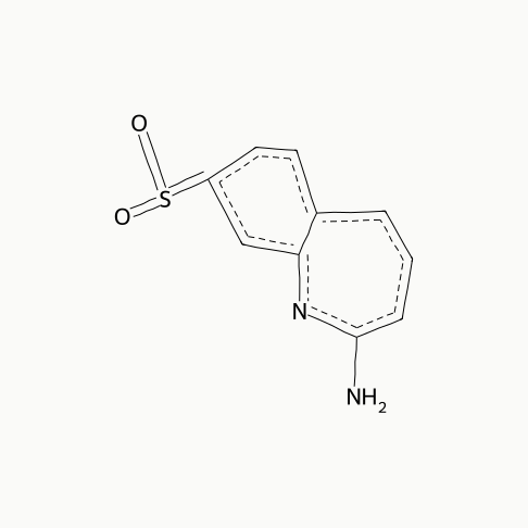 Nc1cccc2ccc(=S(=O)=O)cc-2n1